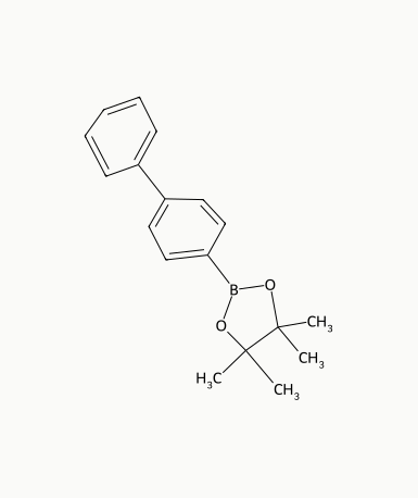 CC1(C)OB(c2ccc(-c3ccccc3)cc2)OC1(C)C